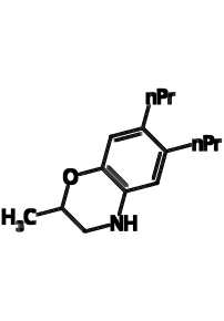 CCCc1cc2c(cc1CCC)OC(C)CN2